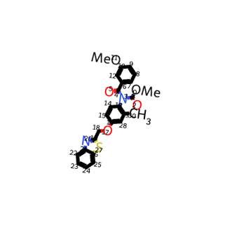 COC(=O)N(C(=O)c1cccc(OC)c1)c1ccc(OCc2nc3ccccc3s2)cc1C